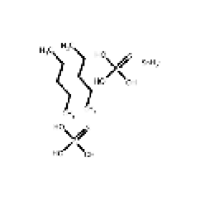 CCCCC.CCCCC.OP(O)(O)=S.OP(O)(O)=S.[SnH2]